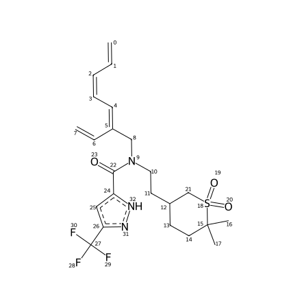 C=C/C=C\C=C(/C=C)CN(CCC1CCC(C)(C)S(=O)(=O)C1)C(=O)c1cc(C(F)(F)F)n[nH]1